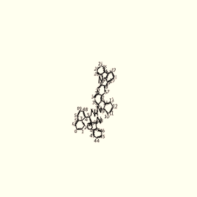 c1ccc2c(-c3nc(-n4c5ccccc5c5c6cc7c8cccc9c%10ccccc%10n(c7cc6ccc54)c98)nc4c3oc3ccccc34)cccc2c1